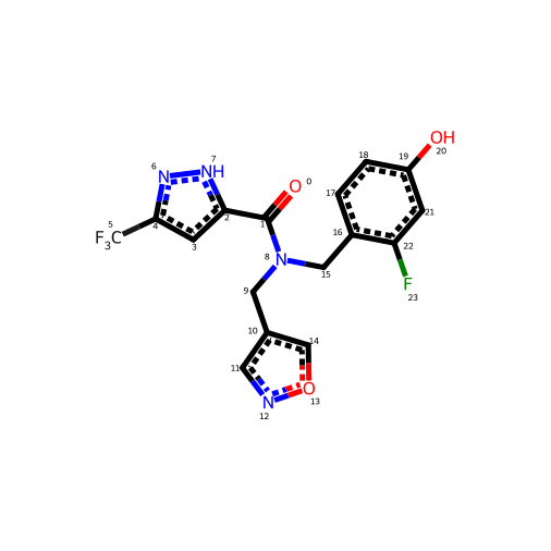 O=C(c1cc(C(F)(F)F)n[nH]1)N(Cc1cnoc1)Cc1ccc(O)cc1F